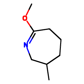 COC1=NCC(C)CCC1